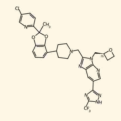 CC1(c2ccc(Cl)cn2)Oc2cccc(C3CCN(Cc4nc5cc(-c6n[nH]c(C(F)(F)F)n6)cnc5n4C[C@@H]4CCO4)CC3)c2O1